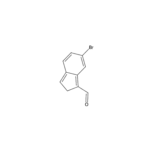 O=CC1=c2cc(Br)ccc2=CC1